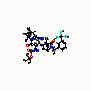 C[C@@H](c1cccc(C(F)(F)F)c1)N1C(=O)[C@@H]2CC1CN2C[C@H](NC(=O)OC(C)(C)C)C(=O)N1[C@H](C#N)C[C@@H]2C[C@@H]21